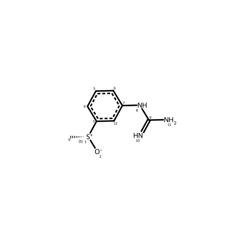 C[S@@+]([O-])c1cccc(NC(=N)N)c1